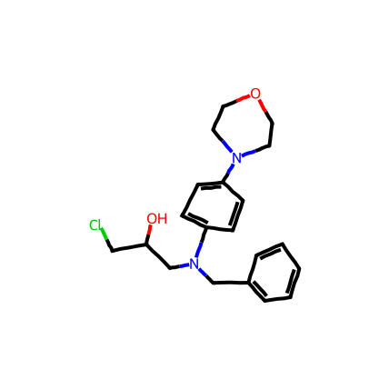 OC(CCl)CN(Cc1ccccc1)c1ccc(N2CCOCC2)cc1